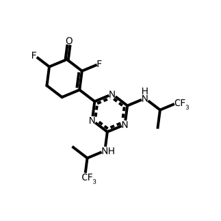 CC(Nc1nc(NC(C)C(F)(F)F)nc(C2=C(F)C(=O)C(F)CC2)n1)C(F)(F)F